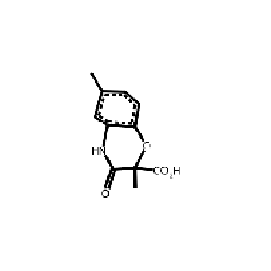 Cc1ccc2c(c1)NC(=O)C(C)(C(=O)O)O2